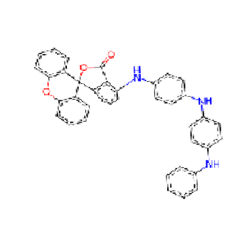 O=C1OC2(c3ccccc3Oc3ccccc32)c2cccc(Nc3ccc(Nc4ccc(Nc5ccccc5)cc4)cc3)c21